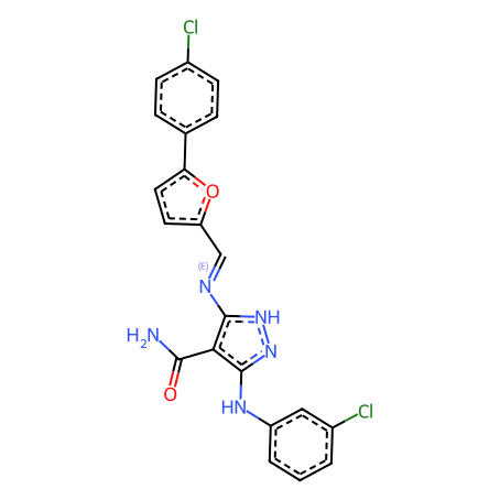 NC(=O)c1c(Nc2cccc(Cl)c2)n[nH]c1/N=C/c1ccc(-c2ccc(Cl)cc2)o1